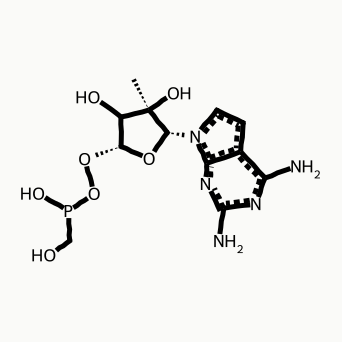 C[C@@]1(O)C(O)[C@@H](OOP(O)CO)O[C@H]1n1ccc2c(N)nc(N)nc21